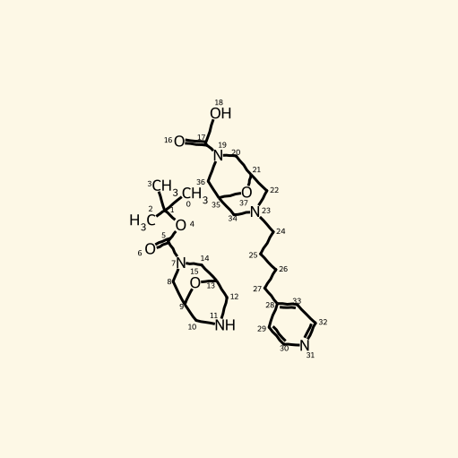 CC(C)(C)OC(=O)N1CC2CNCC(C1)O2.O=C(O)N1CC2CN(CCCCc3ccncc3)CC(C1)O2